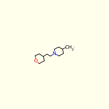 [CH2]C1CCN(CCC2CCOCC2)CC1